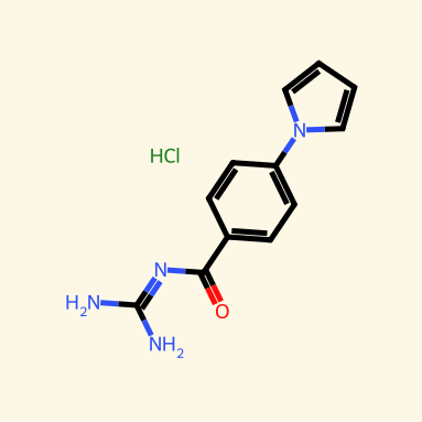 Cl.NC(N)=NC(=O)c1ccc(-n2cccc2)cc1